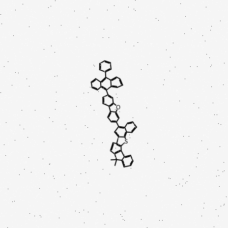 CC1(C)c2ccccc2-c2c1ccc1c2sc2c3ccccc3c(-c3ccc4c(c3)oc3cc(-c5c6ccccc6c(-c6ccccc6)c6ccccc56)ccc34)cc12